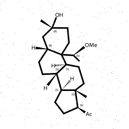 CO[C@@H](C)C12CC[C@@](C)(O)C[C@H]1CC[C@@H]1[C@@H]2CC[C@]2(C)[C@@H](C(C)=O)CC[C@@H]12